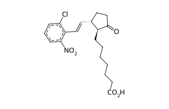 O=C(O)CCCCCC[C@@H]1C(=O)CC[C@H]1C=Cc1c(Cl)cccc1[N+](=O)[O-]